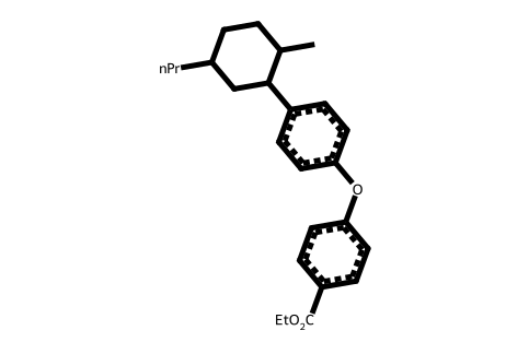 CCCC1CCC(C)C(c2ccc(Oc3ccc(C(=O)OCC)cc3)cc2)C1